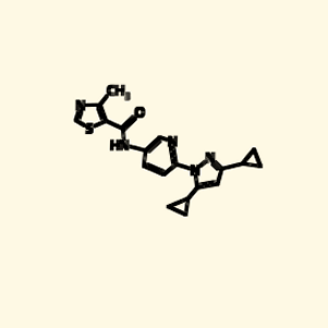 Cc1ncsc1C(=O)Nc1ccc(-n2nc(C3CC3)cc2C2CC2)nc1